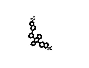 C[Si](C)(C)c1ccc2cc(-c3cccc(-c4c5ccccc5c(-c5ccc6cc([Si](C)(C)C)ccc6c5)c5ccccc45)c3)ccc2c1